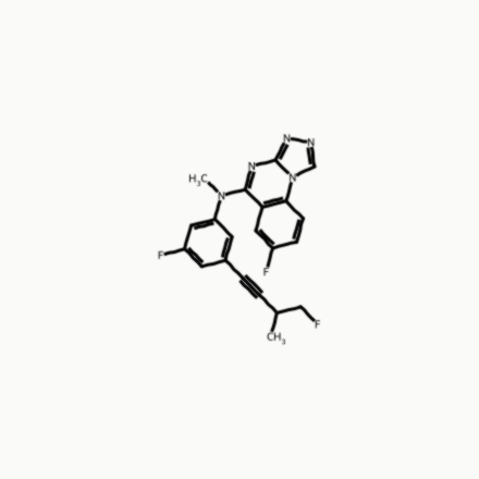 CC(C#Cc1cc(F)cc(N(C)c2nc3nncn3c3ccc(F)cc23)c1)CF